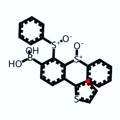 [O-][S+](c1ccccc1)c1c(B(O)O)ccc(-c2cccs2)c1[S+]([O-])c1ccccc1